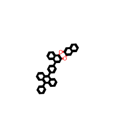 c1ccc(-c2c3ccccc3c(-c3ccc(-c4cc5c(c6ccccc46)Oc4cc6ccccc6cc4O5)cc3)c3ccccc23)cc1